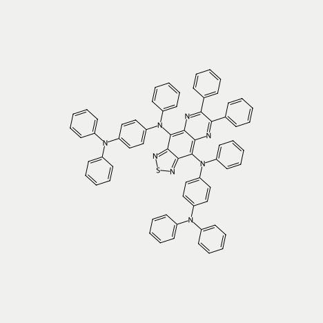 c1ccc(-c2nc3c(N(c4ccccc4)c4ccc(N(c5ccccc5)c5ccccc5)cc4)c4nsnc4c(N(c4ccccc4)c4ccc(N(c5ccccc5)c5ccccc5)cc4)c3nc2-c2ccccc2)cc1